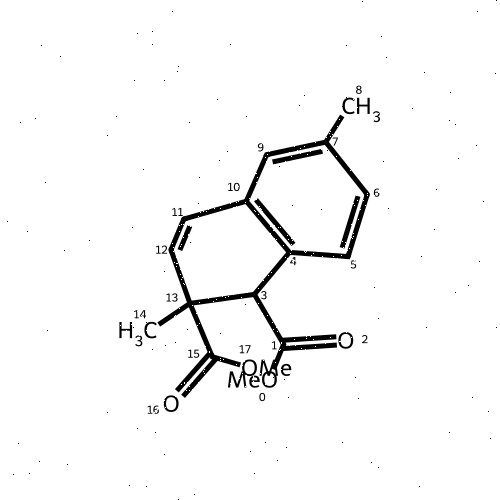 COC(=O)C1c2ccc(C)cc2C=CC1(C)C(=O)OC